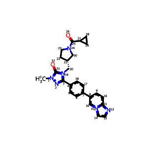 Cn1nc(-c2ccc(-c3ccc4nccn4c3)cc2)n(C[C@@H]2CCN(C(=O)C3CC3)C2)c1=O